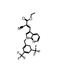 CCOC(=O)/C(C#N)=C/c1cn(CC2=CC(C(F)(F)F)=CC(C(F)(F)F)C2)c2ncccc12